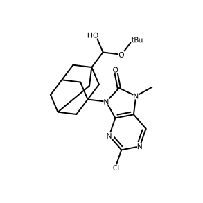 Cn1c(=O)n(C23CC4CC(CC(C(O)OC(C)(C)C)(C4)C2)C3)c2nc(Cl)ncc21